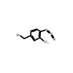 CC(C)Cc1ccc(N=[N+]=[N-])c(C(F)(F)F)c1